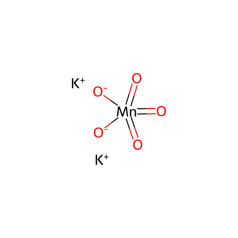 [K+].[K+].[O]=[Mn](=[O])(=[O])([O-])[O-]